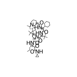 CCC[C@H](NC(=O)[C@@H]1C[C@@]2(CN1C(=O)[C@@H](NC(=O)[C@@H](NC(=O)[C@@H]1CCCN(C(C)C)C1)C1CCCCC1)C(C)(C)C)C(C)(C)C21CCC1)C(=O)C(=O)NC1CC1